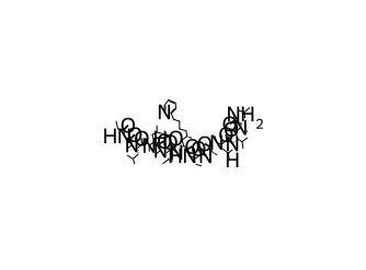 CCC(=O)NC(=O)N(C)[C@@H](CC(C)C)C(=O)N(C)[C@@H](CC(C)C)C(=O)N(C)[C@H](C(=O)N(C)[C@H](C(=O)N[C@@H](CC)C(=O)N(C)[C@H](C)C(=O)N(C)[C@@H](CC(C)C)C(=O)N[C@H](C(=O)N(C)[C@@H](CC(C)C)C(N)=O)C(C)C)[C@H](O)[C@H](C)CCCCc1ccccn1)C(C)C